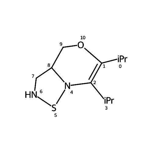 CC(C)C1=C(C(C)C)N2SNCC2CO1